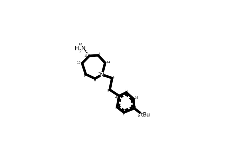 CC(C)(C)c1ccc(CCN2CCC[C@H](N)CC2)cc1